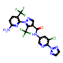 Nc1ccc(C(F)(F)F)c(-n2ncc(C(=O)Nc3cnc(-n4nccn4)c(Cl)c3)c2C(F)(F)F)n1